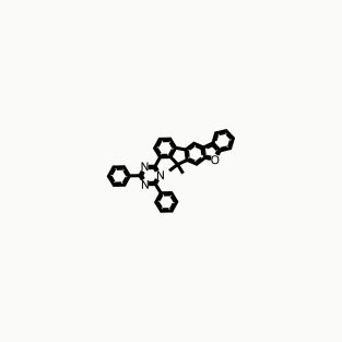 CC1(C)c2cc3oc4ccccc4c3cc2-c2cccc(-c3nc(-c4ccccc4)nc(-c4ccccc4)n3)c21